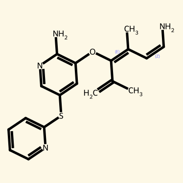 C=C(C)/C(Oc1cc(Sc2ccccn2)cnc1N)=C(C)\C=C/N